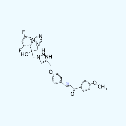 COc1ccc(C(=O)/C=C/c2ccc(OCC3=CN(CC(O)(Cn4cncn4)c4ccc(F)cc4F)NN3)cc2)cc1